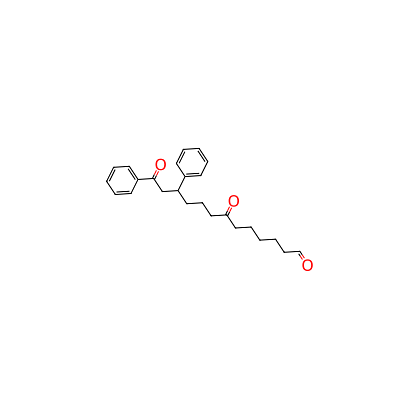 O=CCCCCCC(=O)CCCC(CC(=O)c1ccccc1)c1ccccc1